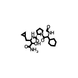 NC(=O)C(O)C(CC1CC1)NC(=O)[C@@H]1CCCN1C(=O)[C@@H](NC=O)C1CCCCC1